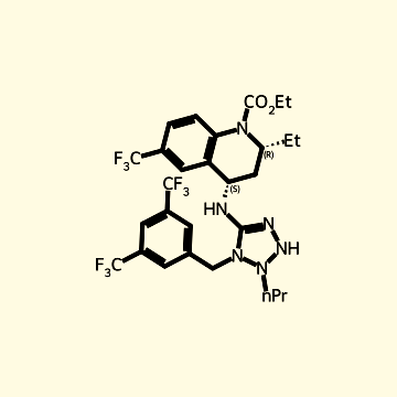 CCCN1NN=C(N[C@H]2C[C@@H](CC)N(C(=O)OCC)c3ccc(C(F)(F)F)cc32)N1Cc1cc(C(F)(F)F)cc(C(F)(F)F)c1